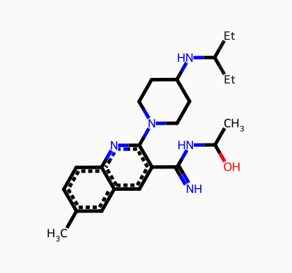 CCC(CC)NC1CCN(c2nc3ccc(C)cc3cc2C(=N)NC(C)O)CC1